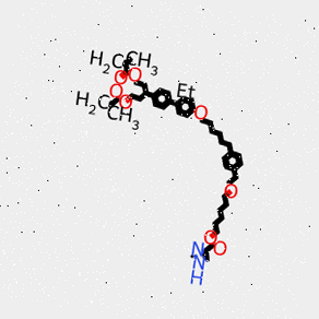 C=C(C)C(=O)OCCC(CCOC(=O)C(=C)C)c1ccc(-c2ccc(OCCCCCCc3ccc(CCOCCCCCCOC(=O)c4c[nH]cn4)cc3)cc2CC)cc1